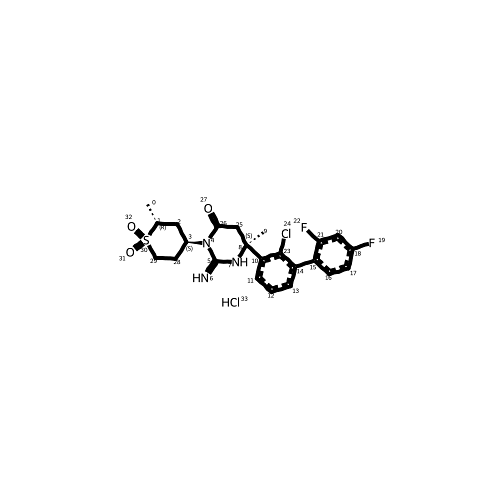 C[C@@H]1C[C@@H](N2C(=N)N[C@](C)(c3cccc(-c4ccc(F)cc4F)c3Cl)CC2=O)CCS1(=O)=O.Cl